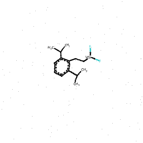 CC(C)c1cccc(C(C)C)c1CC[SiH](F)F